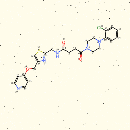 O=C(CCC(=O)N1CCN(c2ccccc2Cl)CC1)NCc1nc(COc2ccncc2)cs1